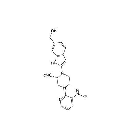 CC(C)Nc1cccnc1N1CCN(c2cc3ccc(CO)cc3[nH]2)C(C=O)C1